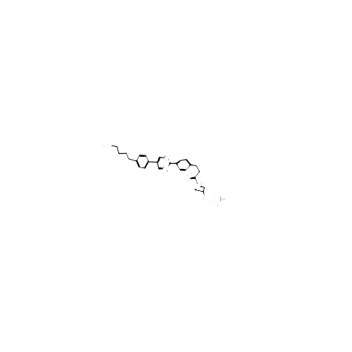 CC(C)CCCCc1ccc(-c2cnc(-c3ccc(C[C@H](C)C(=O)N4CC(C(=O)O)C4)cc3)nc2)cc1